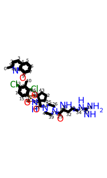 Cc1ccc2cccc(OCc3c(Cl)ccc(S(=O)(=O)NC4(C(=O)N5CCN(C(=O)[C@@H](N)CCCNC(=N)N)CC5)CCCC4)c3Cl)c2n1